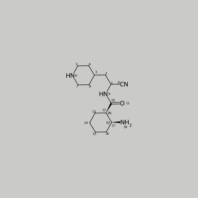 N#CC(CC1CCNCC1)NC(=O)[C@@H]1CCCC[C@@H]1N